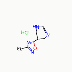 CCc1noc(C2CN=CNC2)n1.Cl